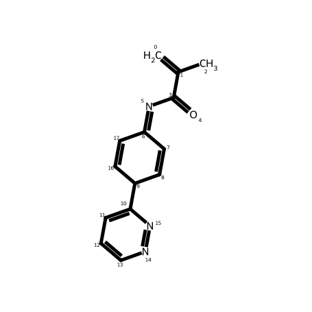 C=C(C)C(=O)N=C1C=CC(c2cccnn2)C=C1